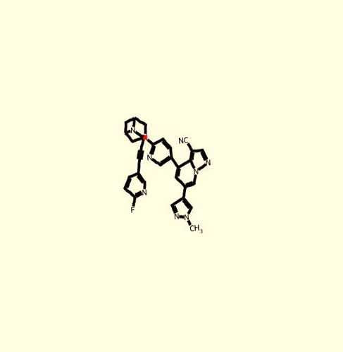 Cn1cc(-c2cc(-c3ccc(N4CC5CC(C4)N5CC#Cc4ccc(F)nc4)nc3)c3c(C#N)cnn3c2)cn1